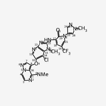 CNc1nccn2ncc(Oc3cnc4nc(Nc5cc(C(F)(F)F)cn(-c6cnn(C)c6)c5=O)n(C)c4c3Cl)c12